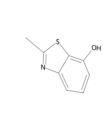 Cc1nc2cccc(O)c2s1